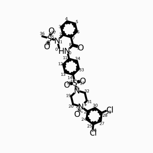 CN(c1ccccc1C(=O)Nc1ccc(S(=O)(=O)N2CC[N+]([O-])(c3cc(Cl)cc(Cl)c3)CC2)cc1)S(C)(=O)=O